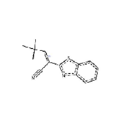 CC(C)(C)/C=C(\C#N)c1nc2ccccc2s1